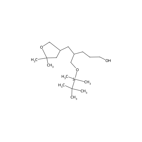 CC1(C)CC(CC(CCCO)CO[Si](C)(C)C(C)(C)C)CO1